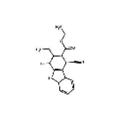 CCOC(=O)C1C(C#N)C2=C(NC3C=CC=CC23)C(F)C1CC